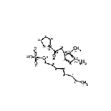 CCCCCCCCOS(=O)(=O)[O-].Cc1n(CC(=O)N2CCCC2)cc[n+]1C